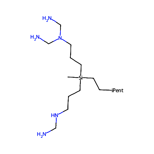 CCCC(C)CC[Si](C)(CCCNCN)CCCN(CN)CN